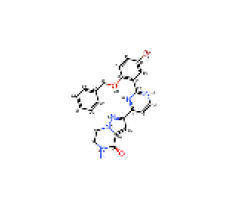 O=C1NCCn2nc(-c3ccnc(-c4cc(Br)ccc4OCc4ccccc4)n3)cc21